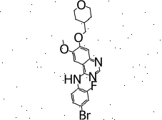 COc1cc2c(Nc3ccc(Br)cc3F)ncnc2cc1OCC1CCOCC1